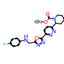 CC(C)(C)OC(=O)N1CCCCC1c1ccc(-c2nnc(CNc3ccc(F)cc3)o2)nn1